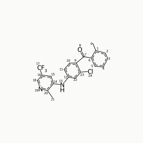 Cc1ccccc1C(=O)c1ccc(Nc2cc(C(F)(F)F)cnc2C)cc1Cl